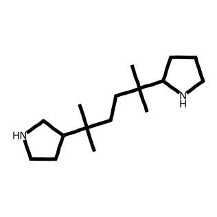 CC(C)(CCC(C)(C)C1CCCN1)C1CCNC1